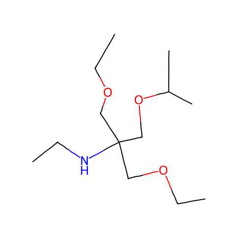 CCNC(COCC)(COCC)COC(C)C